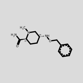 CN1C[C@H](NOCc2ccccc2)CC[C@H]1C(N)=O